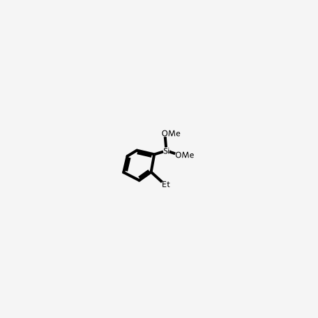 CCc1ccccc1[Si](OC)OC